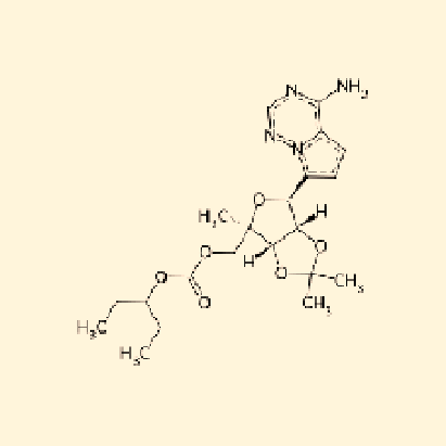 CCC(CC)OC(=O)OC[C@@]1(C)O[C@@H](c2ccc3c(N)ncnn23)[C@@H]2OC(C)(C)O[C@@H]21